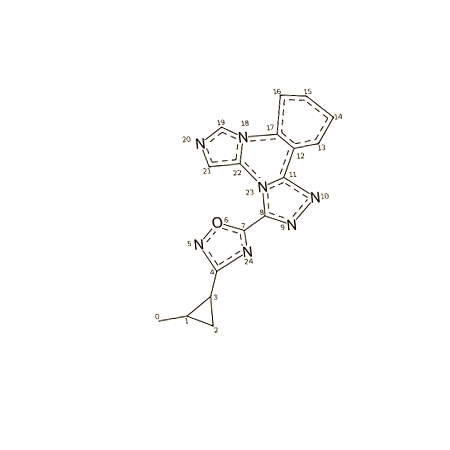 CC1CC1c1noc(-c2nnc3c4ccccc4n4cncc4n23)n1